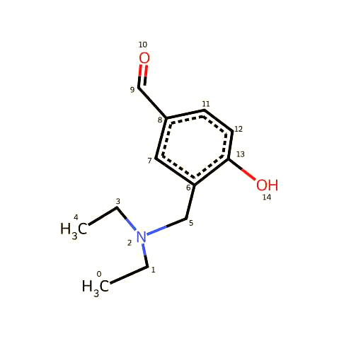 CCN(CC)Cc1cc(C=O)ccc1O